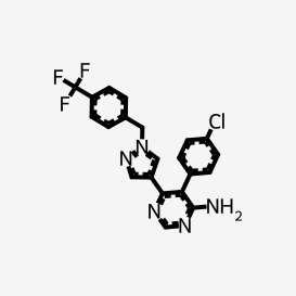 Nc1ncnc(-c2cnn(Cc3ccc(C(F)(F)F)cc3)c2)c1-c1ccc(Cl)cc1